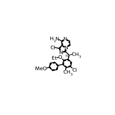 CCOc1c([C@H](C)c2nc(Cl)c3c(N)nccn23)cc(Cl)c(C)c1-c1ccc(OC)cc1